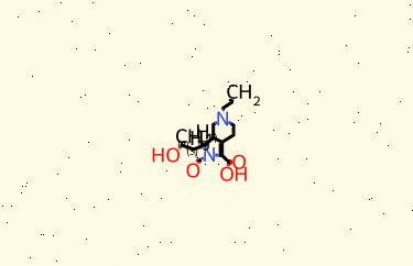 C=CCN1CCC2=C(C(=O)O)N3C(=O)[C@H]([C@@H](C)O)[C@H]3[C@H]2C1